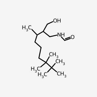 CC(CCCC(C)(C)C(C)(C)C)C(CO)CNC=O